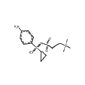 C[Si](C)(C)CCS(=O)(=O)N=S(=O)(c1ccc(N)cc1)C1CC1